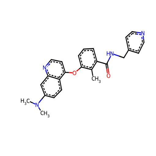 Cc1c(Oc2ccnc3cc(N(C)C)ccc23)cccc1C(=O)NCc1ccncc1